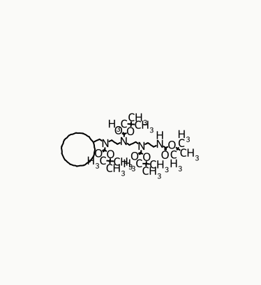 CC(C)(C)OC(=O)NCCN(CCN(CCN(CC1CCCCCCCCCCCCCC1)C(=O)OC(C)(C)C)C(=O)OC(C)(C)C)C(=O)OC(C)(C)C